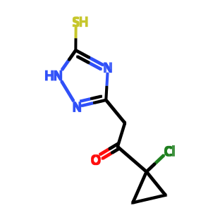 O=C(Cc1n[nH]c(S)n1)C1(Cl)CC1